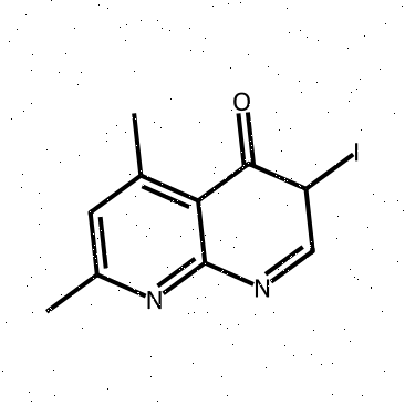 Cc1cc(C)c2c(n1)N=CC(I)C2=O